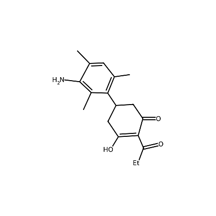 CCC(=O)C1=C(O)CC(c2c(C)cc(C)c(N)c2C)CC1=O